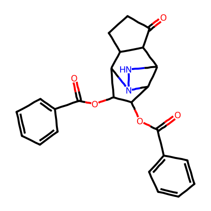 O=C(OC1C(OC(=O)c2ccccc2)C2C3NN2C1C1CCC(=O)C13)c1ccccc1